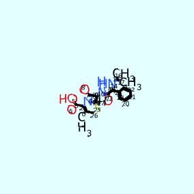 CC1=C(C(=O)O)N2C(=O)[C@@H](NC(=O)[C@H](NC(C)C)c3ccccc3)[C@H]2SC1